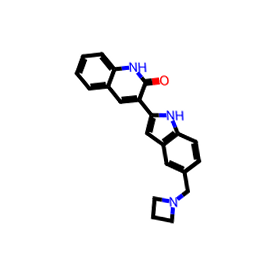 O=c1[nH]c2ccccc2cc1-c1cc2cc(CN3CCC3)ccc2[nH]1